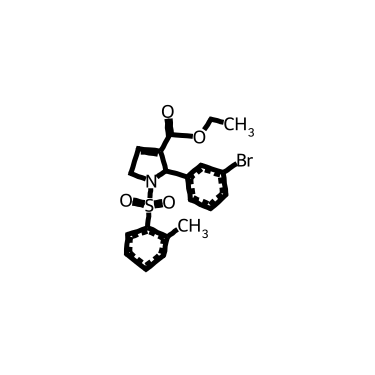 CCOC(=O)C1=CCN(S(=O)(=O)c2ccccc2C)C1c1cccc(Br)c1